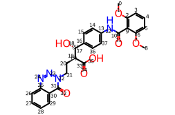 COc1cccc(OC)c1C(=O)Nc1ccc([C@@H](O)[C@H](CCn2nnc3ccccc3c2=O)C(=O)O)cc1